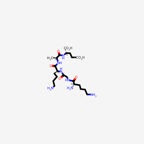 C[C@H](NC(=O)[C@H](CCCCN)NC(=O)CNC(=O)[C@@H](N)CCCCN)C(=O)N[C@@H](CCC(=O)O)C(=O)O